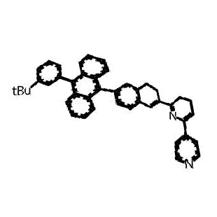 CC(C)(C)c1cccc(-c2c3ccccc3c(-c3ccc4c(c3)CCC(C3=NC(c5ccncc5)=CCC3)=C4)c3ccccc23)c1